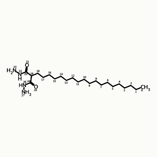 CCCCCCCCCCCCCCCCCCCC(C(=O)NN)C(=O)NN